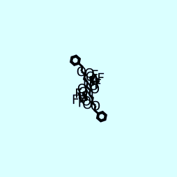 O=C(CN(C(=O)C(=O)N(CC(=O)OCc1ccccc1)S(=O)(=O)C(F)(F)F)S(=O)(=O)C(F)(F)F)OCc1ccccc1